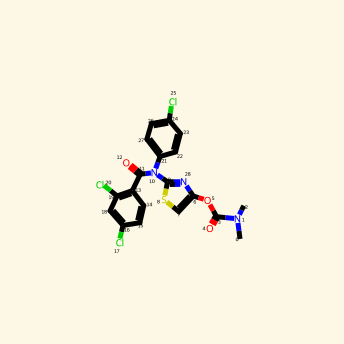 CN(C)C(=O)Oc1csc(N(C(=O)c2ccc(Cl)cc2Cl)c2ccc(Cl)cc2)n1